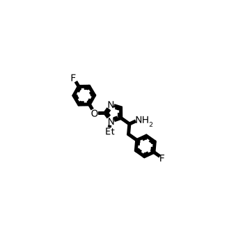 CCn1c(C(N)Cc2ccc(F)cc2)cnc1Oc1ccc(F)cc1